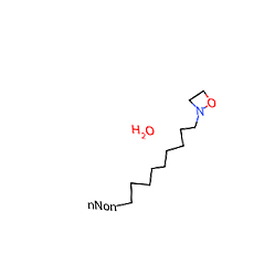 CCCCCCCCCCCCCCCCCCN1CCO1.O